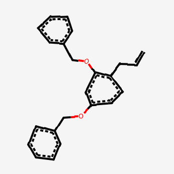 C=CCc1ccc(OCc2ccccc2)cc1OCc1ccccc1